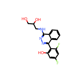 OCC(O)CNc1nnc(-c2c(O)cc(F)cc2F)c2ccccc12